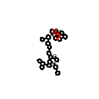 c1ccc(-c2ccc(N(c3cccc4c(-c5cc6ccccc6c6ccccc56)cccc34)c3cccc4oc5c6cc(-c7ccc8cc(-c9cc(N(c%10ccccc%10-c%10ccccc%10-c%10cc%11ccccc%11c%11ccccc%10%11)c%10cccc%11oc%12c%13ccccc%13ccc%12c%10%11)ccc9-c9ccccc9)ccc8c7)ccc6ccc5c34)cc2)cc1